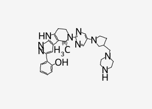 C[C@@H]1c2c([nH]c3nnc(-c4ccccc4O)cc23)CCN1c1ncc(N2CCC(CN3CCNCC3)C2)cn1